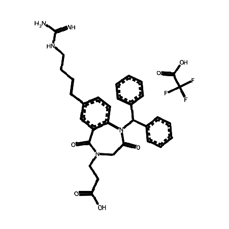 N=C(N)NCCCCc1ccc2c(c1)C(=O)N(CCC(=O)O)CC(=O)N2C(c1ccccc1)c1ccccc1.O=C(O)C(F)(F)F